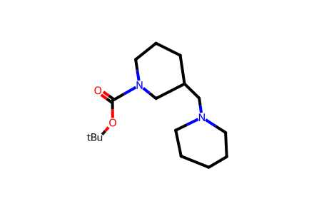 CC(C)(C)OC(=O)N1CCCC(CN2CCCCC2)C1